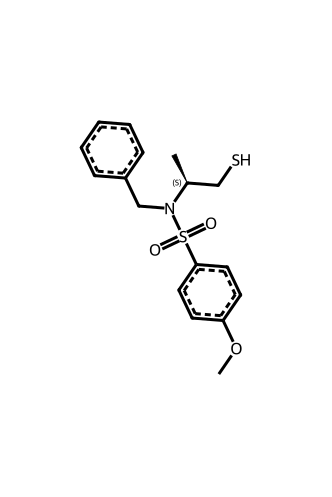 COc1ccc(S(=O)(=O)N(Cc2ccccc2)[C@@H](C)CS)cc1